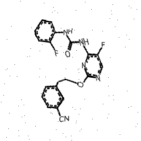 N#Cc1cccc(COc2ncc(F)c(NC(=O)Nc3ccccc3F)n2)c1